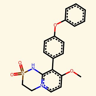 COc1cc[n+]2c(c1-c1ccc(Oc3ccccc3)cc1)NS(=O)(=O)CC2